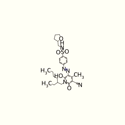 CCCCC(CC)Cn1c(O)c(/N=N/c2ccc(S(=O)(=O)NCC3CCCO3)cc2)c(C)c(C#N)c1=O